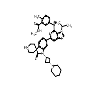 CNC(=O)c1cc(Nc2nc(-c3ccc4c(c3)N([C@H]3C[C@@H](N5CCCCC5)C3)C(=O)C43CCNCC3)cc3ncn(C(C)C)c23)ccc1C